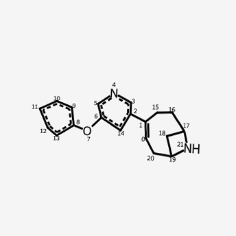 C1=C(/c2cncc(Oc3ccccc3)c2)CCC2CC(C/1)N2